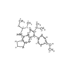 CCC(CC)Nc1c2c(nc3c(-c4ccc(OC)cc4)c(C(C)C)nn13)CCC2